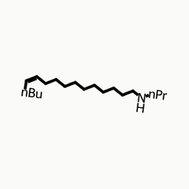 CCCC/C=C\CCCCCCCCCCNCCC